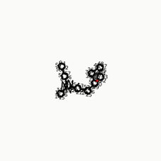 c1ccc(-c2ccc(-c3nc(-c4ccccc4)nc(-c4ccc(-c5cccc(-c6cccc(-c7cccc8c7C7(CCCCC7)c7ccccc7-8)c6)c5)cc4)n3)cc2)cc1